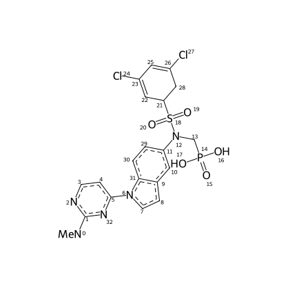 CNc1nccc(-n2ccc3cc(N(CP(=O)(O)O)S(=O)(=O)C4C=C(Cl)C=C(Cl)C4)ccc32)n1